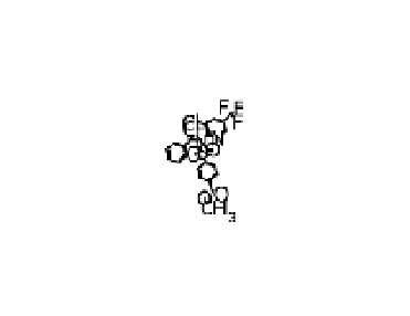 COC(=O)c1ccc(S(=O)(=O)N(c2ncc(C(F)(F)F)cc2Cl)[C@@H](C)c2ccccc2)cc1